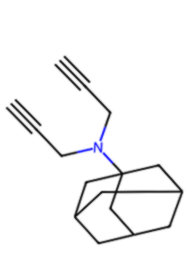 C#CCN(CC#C)C12CC3CC(CC(C3)C1)C2